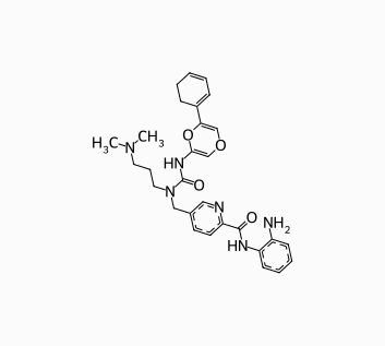 CN(C)CCCN(Cc1ccc(C(=O)Nc2ccccc2N)nc1)C(=O)NC1=COC=C(C2=CC=CCC2)O1